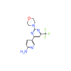 Nc1ccc(-c2cc(C(F)(F)F)nc(N3CCOCC3)n2)cn1